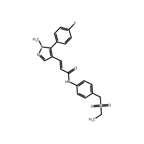 CCS(=O)(=O)Cc1ccc(NC(=O)/C=C/c2cnn(C)c2-c2ccc(F)cc2)cc1